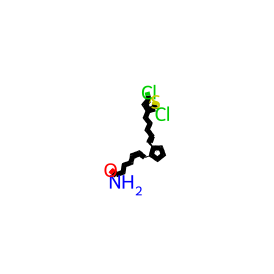 NC(=O)CCC/C=C\C[C@H]1CCC[C@@H]1/C=C/CCCc1cc(Cl)sc1Cl